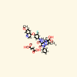 COc1ccc2c(Oc3ccc(NC(=O)c4c(C)n(C[C@@H](C)[C@](C)(N)C(=O)O)n(-c5ccccc5)c4=O)cc3F)ccnc2c1.O=C(O)C=CC(=O)O